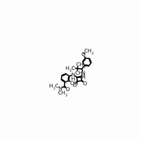 COc1cccc(C(Nc2c(Nc3cccc(C(=O)N(C)C)c3O)c(=O)c2=O)C(C)(C)C)c1